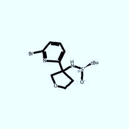 CC(C)(C)[S@@+]([O-])NC1(c2cccc(Br)n2)CCOC1